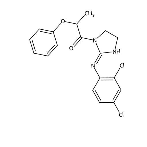 CC(Oc1ccccc1)C(=O)N1CCN/C1=N\c1ccc(Cl)cc1Cl